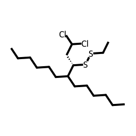 CCCCCCC(CCCCCC)[C@H](CC(Cl)Cl)SSCC